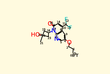 CC(C)CCOc1cnc2c(c1)c(C(F)F)cc(=O)n2C1CC(C)(O)C1